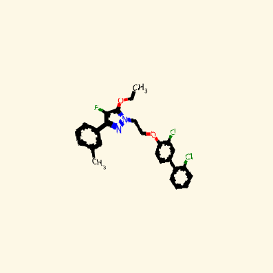 CCOc1c(F)c(-c2cccc(C)c2)nn1CCOc1ccc(-c2ccccc2Cl)cc1Cl